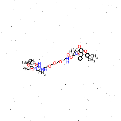 [2H]CC1OC(N2C=C(C)C(NCCCOCCOCCOCCCNC(=O)OCCN(C)C(=O)c3ccccc3C3c4cc(C)c(C)cc4OC4=CC(=O)C(C)=CC43)NC2=O)CC1O[Si](C)(C)C(C)(C)C